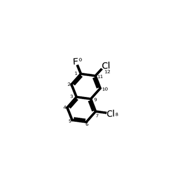 Fc1cc2cccc(Cl)c2cc1Cl